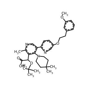 COc1cccc(CCOc2ccc(-c3cnc(C)c(C(OC(C)(C)C)C(=O)O)c3N3CCC(C)(C)CC3)nc2)c1